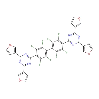 Fc1c(F)c(-c2c(F)c(F)c(-c3nc(-c4ccoc4)nc(-c4ccoc4)n3)c(F)c2F)c(F)c(F)c1-c1nc(-c2ccoc2)nc(-c2ccoc2)n1